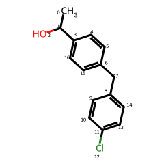 CC(O)c1ccc([CH]c2ccc(Cl)cc2)cc1